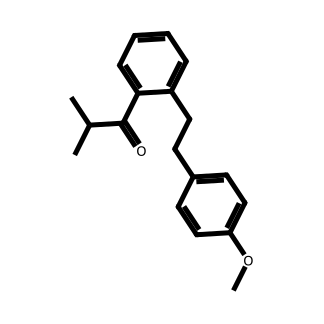 COc1ccc(CCc2ccccc2C(=O)C(C)C)cc1